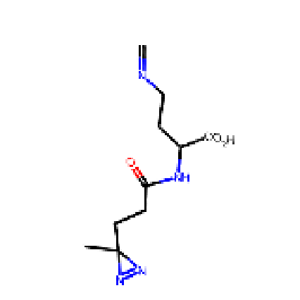 C=NCCC(NC(=O)CCC1(C)N=N1)C(=O)O